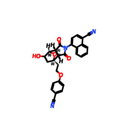 N#Cc1ccc(OCC[C@]23CC(O)[C@H](O2)[C@@H]2C(=O)N(c4ccc(C#N)c5ccccc45)C(=O)[C@@H]23)cc1